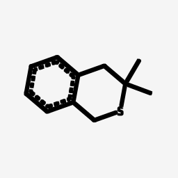 CC1(C)Cc2ccccc2CS1